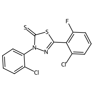 Fc1cccc(Cl)c1-c1nn(-c2ccccc2Cl)c(=S)s1